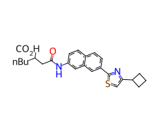 CCCCC(CC(=O)Nc1ccc2ccc(-c3nc(C4CCC4)cs3)cc2c1)C(=O)O